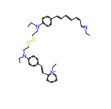 CC/N=C/C=C\C=C\C=C\c1ccc(N(CC)CCSSCCN(CC)c2ccc(/C=C/c3cccc[n+]3CC)cc2)cc1